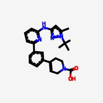 Cc1cc(Nc2cccc(-c3cccc(C4=CCN(C(=O)O)CC4)c3)n2)nn1C(C)(C)C